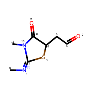 C/N=C1/SC(C[C]=O)C(=O)N1C